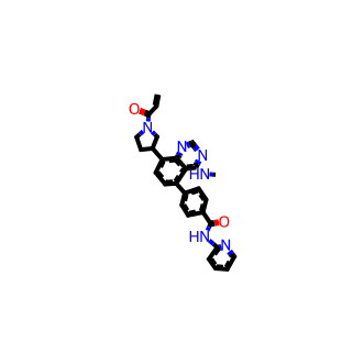 C=CC(=O)N1CCC(c2ccc(-c3ccc(C(=O)Nc4ccccn4)cc3)c3c(NC)ncnc23)C1